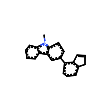 Cn1c2ccccc2c2cc(-c3cccc4c3C=CC4)ccc21